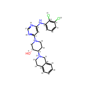 O[C@@H]1CN(c2cc(Nc3cccc(Cl)c3Cl)ncn2)CC[C@H]1N1CCc2ccccc2C1